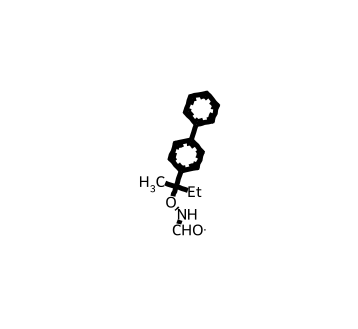 CCC(C)(ON[C]=O)c1ccc(-c2ccccc2)cc1